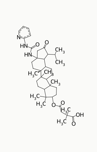 CC(C)C1C(=O)CC2(NC(=O)Nc3ccccn3)CC[C@]3(C)C(CCC4C5(C)CCC(OC(=O)CC(C)(C)C(=O)O)C(C)(C)C5CCC43C)C12